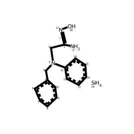 N/C(CN(Cc1ccccc1)c1ccccc1)=N\O.[SiH4]